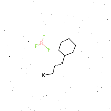 FB(F)F.[K][CH2]CCC1CCCCC1